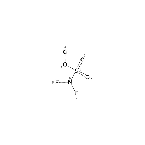 O=S(=O)(OCl)N(F)F